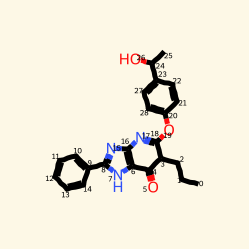 CCCC1C(=O)c2[nH]c(-c3ccccc3)nc2N=C1Oc1ccc(C(C)O)cc1